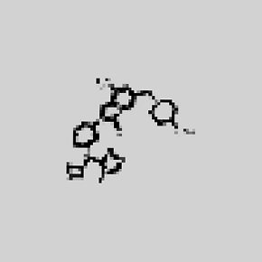 COC1CCN(Cc2cc(C(F)(F)F)c3cn(-c4cccc([C@H](c5nncn5C)C5COC5)c4)c(=O)n3c2)CC1